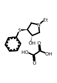 CCN1C[C@H](Sc2ccccc2)[C@@H](O)C1.O=C(O)C(=O)O